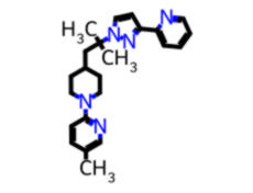 Cc1ccc(N2CCC(CC(C)(C)n3ccc(-c4ccccn4)n3)CC2)nc1